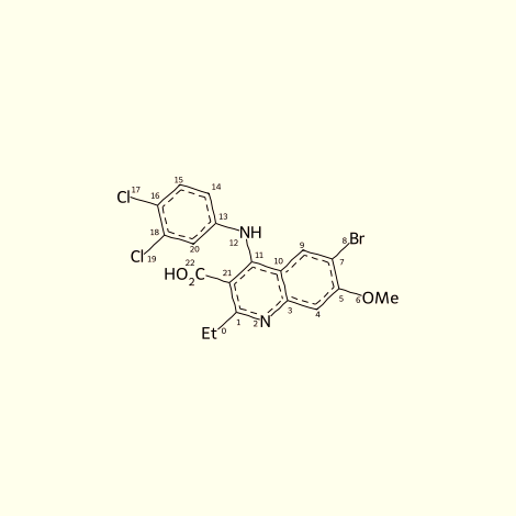 CCc1nc2cc(OC)c(Br)cc2c(Nc2ccc(Cl)c(Cl)c2)c1C(=O)O